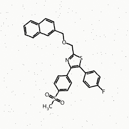 CS(=O)(=O)c1ccc(-c2nc(COCc3ccc4ccccc4c3)sc2-c2ccc(F)cc2)cc1